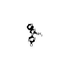 NC1=NC2(CN3CCC2CC3)CN1c1cnc(Cl)cn1